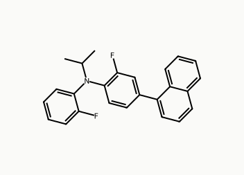 CC(C)N(c1ccccc1F)c1ccc(-c2cccc3ccccc23)cc1F